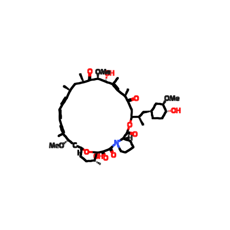 CO[C@H]1C[C@@H]2CC[C@@H](C)[C@@](O)(O2)C(=O)C(=O)N2CCCC[C@H]2C(=O)OC([C@H](C)C[C@@H]2CC[C@@H](O)[C@H](OC)C2)CC(=O)[C@H](C)/C=C(\C)[C@@H](O)[C@H](OC)C(=O)[C@H](C)C[C@H](C)/C=C/C=C/C=C/1C